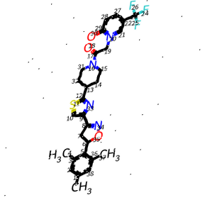 Cc1cc(C)c(C2CC(c3csc(C4CCN(C(=O)Cn5cc(C(F)(F)F)ccc5=O)CC4)n3)=NO2)c(C)c1